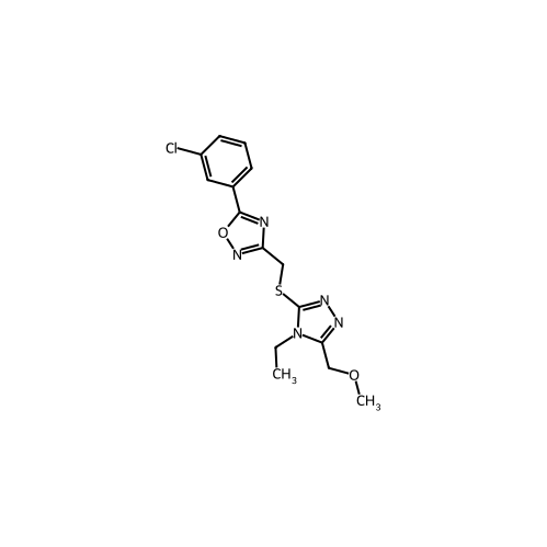 CCn1c(COC)nnc1SCc1noc(-c2cccc(Cl)c2)n1